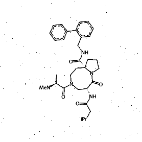 CN[C@@H](C)C(=O)N1CC[C@@]2(C(=O)NCc3ccccc3-c3ccccc3)CCCN2C(=O)[C@H](NC(=O)CC(C)C)C1